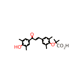 Cc1cc(C(=O)C=Cc2cc(C)c(OC(C)(C)C(=O)O)c(C)c2)cc(C)c1O